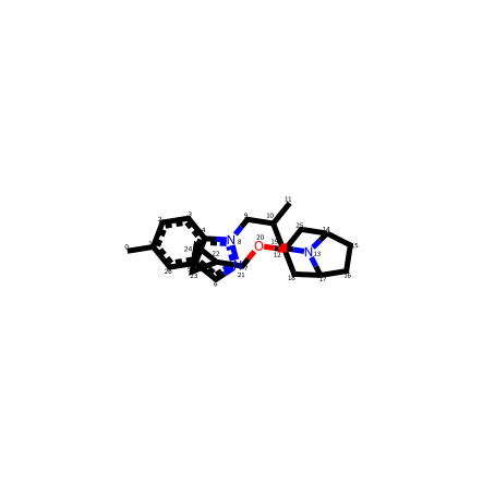 Cc1ccc2c(cnn2CC(C)CN2C3CCC2CC(OCC2CC2)C3)c1